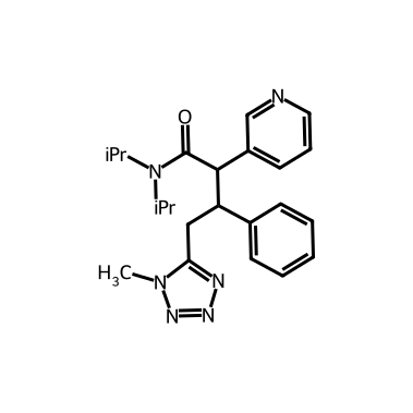 CC(C)N(C(=O)C(c1cccnc1)C(Cc1nnnn1C)c1ccccc1)C(C)C